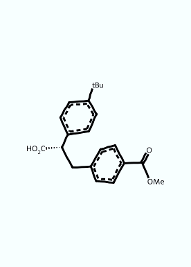 COC(=O)c1ccc(C[C@H](C(=O)O)c2ccc(C(C)(C)C)cc2)cc1